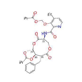 CCc1ccnc(C(=O)N[C@H]2COC(=O)[C@H](Cc3ccccc3)[C@@H](OC(=O)C(C)C)[C@H](C)OC2=O)c1OCOC(=O)C(C)C